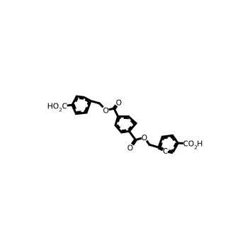 O=C(O)c1ccc(COC(=O)c2ccc(C(=O)OCc3ccc(C(=O)O)cc3)cc2)cc1